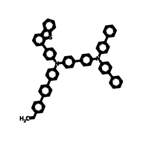 C=Cc1ccc(-c2ccc(-c3ccc(N(c4ccc(-c5ccc(N(c6ccc(-c7ccccc7)cc6)c6ccc(-c7ccccc7)cc6)cc5)cc4)c4ccc(-c5cccc6c5sc5ccccc56)cc4)cc3)cc2)cc1